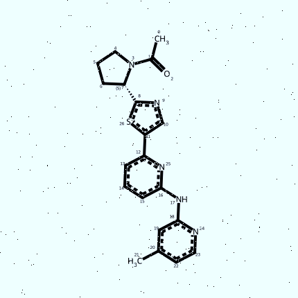 CC(=O)N1CCC[C@H]1c1ncc(-c2cccc(Nc3cc(C)ccn3)n2)s1